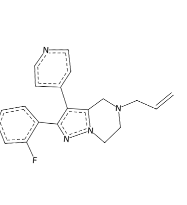 C=CCN1CCn2nc(-c3ccccc3F)c(-c3ccncc3)c2C1